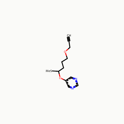 C#CCOCCCC(Oc1cncnc1)SC